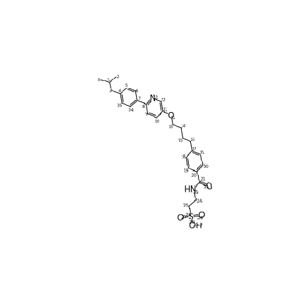 CC(C)Cc1ccc(-c2ccc(OCCCCc3ccc(C(=O)NCCS(=O)(=O)O)cc3)cn2)cc1